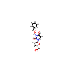 C[C@H]1C[C@@H](CO)O[C@H]1n1ccc(=O)n(COCc2ccccc2)c1=O